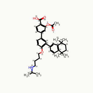 CC(=O)Oc1cc(-c2ccc(OCCCCNC(C)C)c(-c3ccc4c(c3)C(C)(C)CCC4(C)C)c2)ccc1C(=O)O